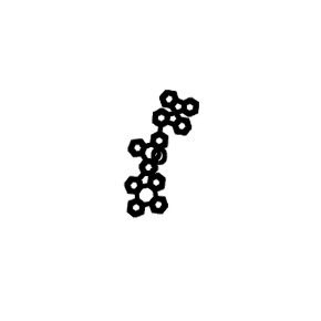 c1ccc2c(c1)-c1cc(-c3cccc4c3-c3ccccc3-c3ccccc3-c3ccccc3-4)ccc1Oc1ccc(-c3cccc4c3-c3ccccc3C43c4ccccc4-c4ccccc43)cc1-2